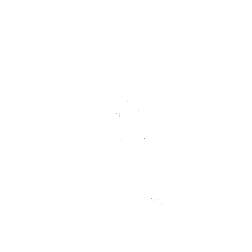 Cc1ccc(S(=O)(=O)Nc2nc3ccccc3nc2Nc2ccc(S(N)(=O)=O)cc2)cc1